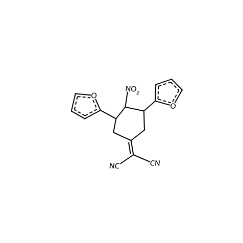 N#CC(C#N)=C1CC(c2ccco2)C([N+](=O)[O-])C(c2ccco2)C1